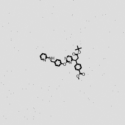 COC(=O)c1ccc(C(CC(=O)OC(C)(C)C)c2ccnc(Oc3ccc(CNc4ccccn4)cc3)n2)cc1